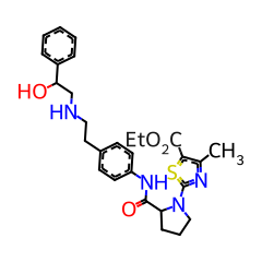 CCOC(=O)c1sc(N2CCCC2C(=O)Nc2ccc(CCNCC(O)c3ccccc3)cc2)nc1C